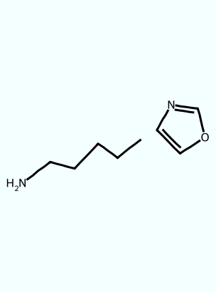 CCCCCN.c1cocn1